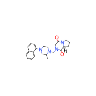 CC1CN(c2cccc3ccccc23)CCN1CN1CC(=O)N2CCC[C@H]2C1=O